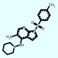 Cc1ccc(S(=O)(=O)n2ccc3c(NN4CCCCC4)c(N)cnc32)cc1